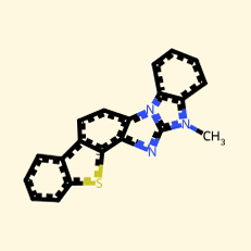 Cn1c2ccccc2n2c3ccc4c5ccccc5sc4c3nc12